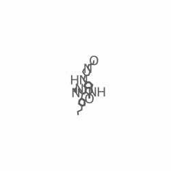 CCCc1ccc(C(=C2C(=O)Nc3ccc(NC4CCN(CCOC)CC4)cc32)c2ncc[nH]2)cc1